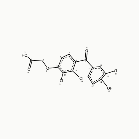 O=C(O)COc1ccc(C(=O)c2ccc(O)c(Cl)c2)c(Cl)c1Cl